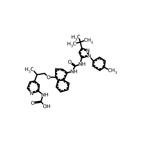 Cc1ccc(-n2nc(C(C)(C)C)cc2NC(=O)Nc2ccc(OCC(C)c3ccnc(NC(=O)O)c3)c3ccccc23)cc1